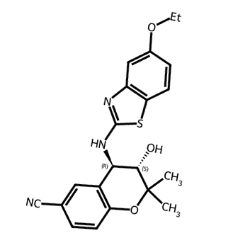 CCOc1ccc2sc(N[C@@H]3c4cc(C#N)ccc4OC(C)(C)[C@H]3O)nc2c1